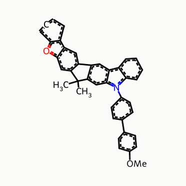 COc1ccc(-c2ccc(-n3c4ccccc4c4cc5c(cc43)C(C)(C)c3cc4oc6ccccc6c4cc3-5)cc2)cc1